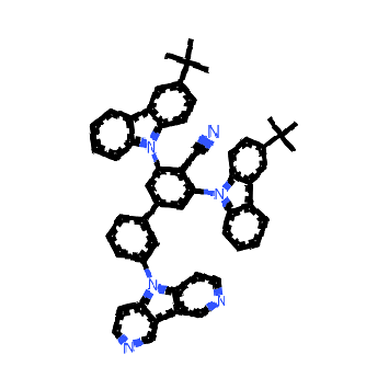 CC(C)(C)c1ccc2c(c1)c1ccccc1n2-c1cc(-c2cccc(-n3c4ccncc4c4cnccc43)c2)cc(-n2c3ccccc3c3cc(C(C)(C)C)ccc32)c1C#N